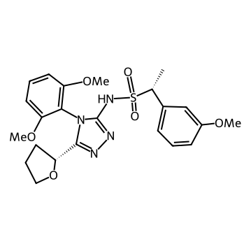 COc1cccc([C@@H](C)S(=O)(=O)Nc2nnc([C@H]3CCCO3)n2-c2c(OC)cccc2OC)c1